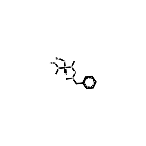 CCC(C)SP(=O)(N(C)C=O)N(C)SN(C)Cc1ccccc1